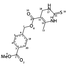 COC(=O)c1ccc(COC(=O)C2=C(C)NC(=S)NC2)cc1